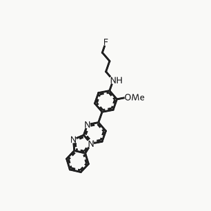 COc1cc(-c2ccn3c(n2)nc2ccccc23)ccc1NCCCF